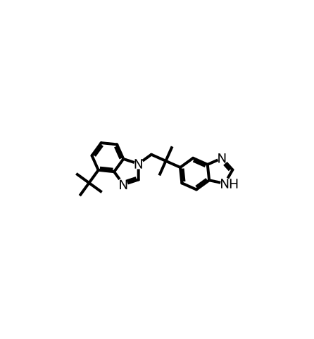 CC(C)(C)c1cccc2c1ncn2CC(C)(C)c1ccc2[nH]cnc2c1